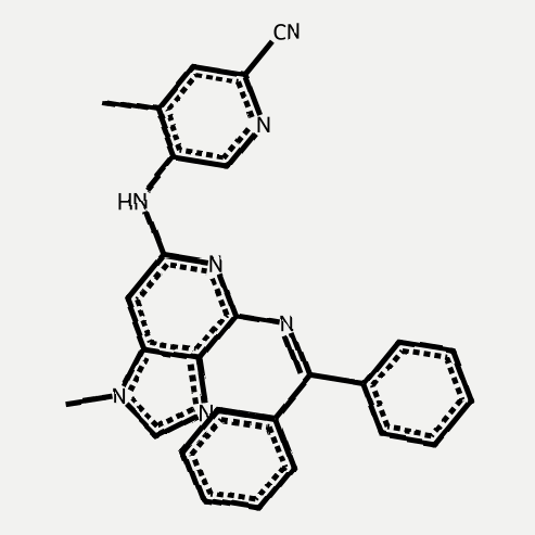 Cc1cc(C#N)ncc1Nc1cc2c(ncn2C)c(N=C(c2ccccc2)c2ccccc2)n1